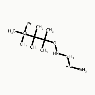 CC(C)[N+](C)(C)C(C)(C)C(C)(C)ON[SiH2]N[SiH3]